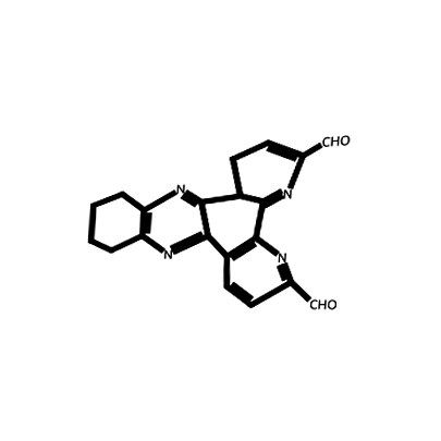 O=CC1=CCC2C(=N1)c1nc(C=O)ccc1-c1nc3c(nc12)CCCC3